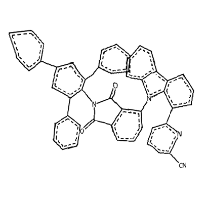 N#Cc1cccc(-c2cccc3c4ccccc4n(-c4cccc5c4C(=O)N(c4c(-c6ccccc6)cc(-c6ccccc6)cc4-c4ccccc4)C5=O)c23)n1